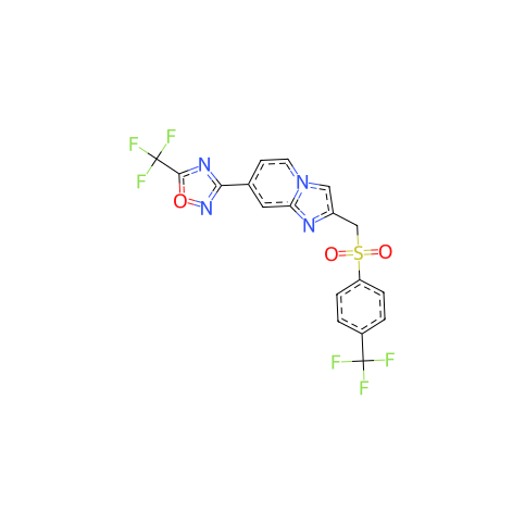 O=S(=O)(Cc1cn2ccc(-c3noc(C(F)(F)F)n3)cc2n1)c1ccc(C(F)(F)F)cc1